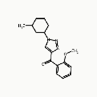 COc1ccccc1C(=O)c1cn(C2CCCC(C)C2)nn1